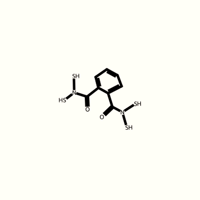 O=C(c1ccccc1C(=O)N(S)S)N(S)S